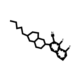 CCCCCC1CCC2CC(c3cc4cccc(F)c4c(F)c3C#N)CCC2C1